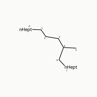 CCCCC[CH]CCCCC(C)CCCCCCCC